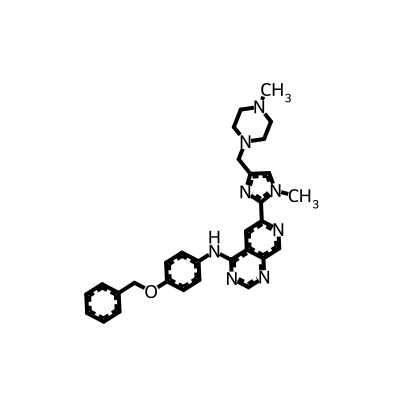 CN1CCN(Cc2cn(C)c(-c3cc4c(Nc5ccc(OCc6ccccc6)cc5)ncnc4cn3)n2)CC1